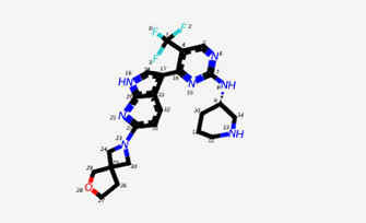 FC(F)(F)c1cnc(N[C@H]2CCCNC2)nc1-c1c[nH]c2nc(N3CC4(CCOC4)C3)ccc12